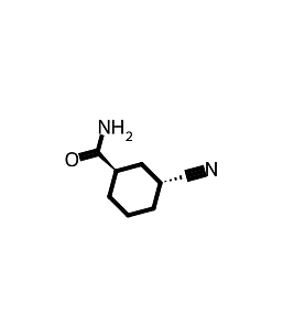 N#C[C@@H]1CCC[C@@H](C(N)=O)C1